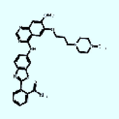 COc1cc2ncnc(Nc3ccc4nc(-c5ccccc5C(N)=O)sc4c3)c2cc1OCCCN1CCN(C)CC1